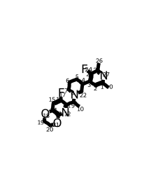 Cc1cc(C2CCCN(C(C)c3nc4c(cc3F)OCCO4)C2)c(F)c(C)n1